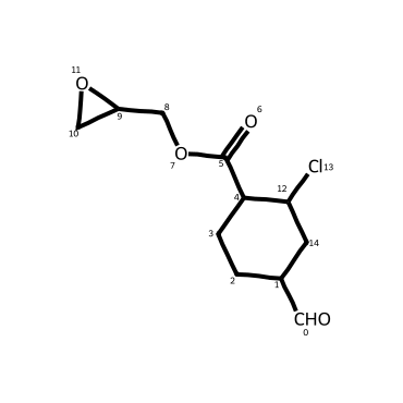 O=CC1CCC(C(=O)OCC2CO2)C(Cl)C1